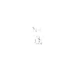 CC(=O)NCC1CC2=C(C)[C@H](C)N=C(C)N2C1